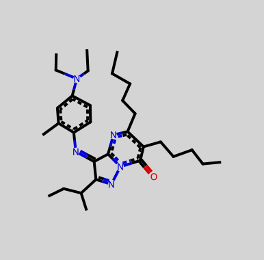 CCCCCc1nc2n(c(=O)c1CCCCC)N=C(C(C)CC)C2=Nc1ccc(N(CC)CC)cc1C